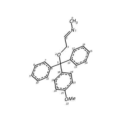 CN=CCOC(c1ccccc1)(c1ccccc1)c1ccc(OC)cc1